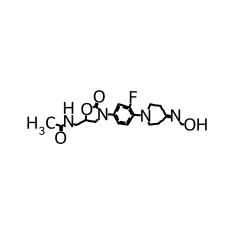 CC(=O)NCC1CN(c2ccc(N3CCC(=NCO)CC3)c(F)c2)C(=O)O1